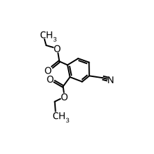 CCOC(=O)c1ccc(C#N)cc1C(=O)OCC